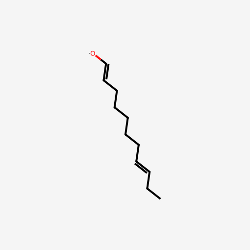 CCC=CCCCCCC=C[O]